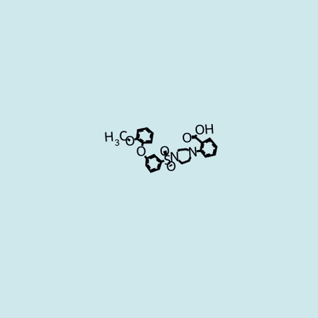 COc1ccccc1Oc1cccc(S(=O)(=O)N2CCN(c3ccccc3C(=O)O)CC2)c1